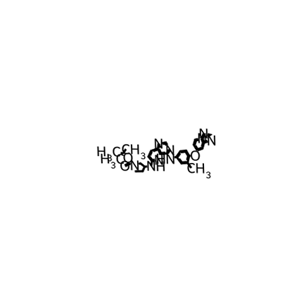 Cc1cc(Nc2ncnc3ccc(NC4CCN(C(=O)OC(C)(C)C)C4)nc23)ccc1Oc1ccn2ncnc2c1